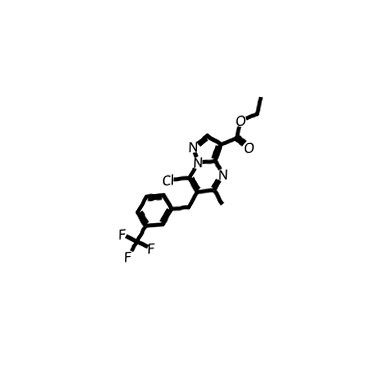 CCOC(=O)c1cnn2c(Cl)c(Cc3cccc(C(F)(F)F)c3)c(C)nc12